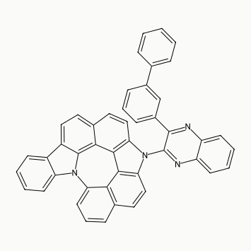 c1ccc(-c2cccc(-c3nc4ccccc4nc3-n3c4ccc5cccc6c5c4c4c5c(ccc7c8ccccc8n6c75)ccc43)c2)cc1